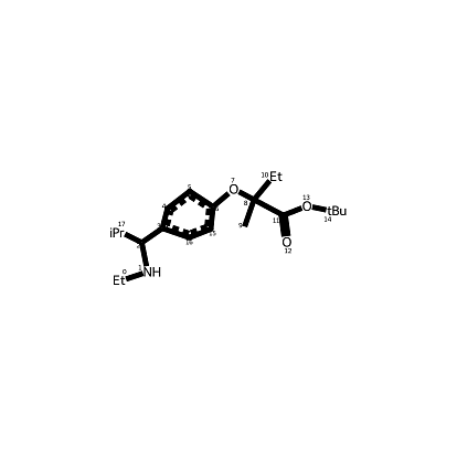 CCNC(c1ccc(OC(C)(CC)C(=O)OC(C)(C)C)cc1)C(C)C